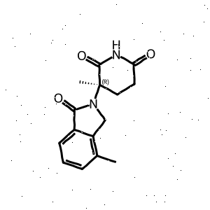 Cc1cccc2c1CN([C@]1(C)CCC(=O)NC1=O)C2=O